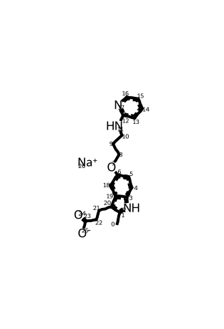 Cc1[nH]c2ccc(OCCCNc3ccccn3)cc2c1CCC(=O)[O-].[Na+]